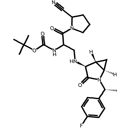 C[C@H](c1ccc(F)cc1)N1C(=O)[C@@H](NCC(NC(=O)OC(C)(C)C)C(=O)N2CCCC2C#N)[C@@H]2C[C@H]21